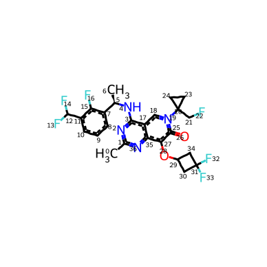 Cc1nc(N[C@H](C)c2cccc(C(F)F)c2F)c2cn(C3(CF)CC3)c(=O)c(OC3CC(F)(F)C3)c2n1